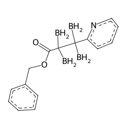 BC(B)(C(=O)OCc1ccccc1)C(B)(B)c1ccccn1